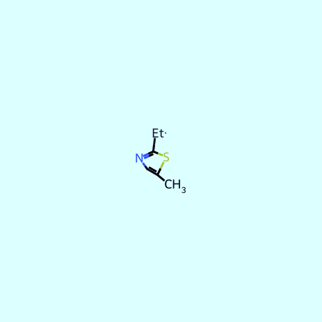 C[CH]c1ncc(C)s1